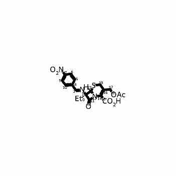 CC[C@@]1(N=Cc2ccc([N+](=O)[O-])cc2)C(=O)N2C(C(=O)O)=C(COC(C)=O)CS[C@@H]21